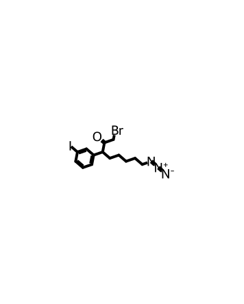 [N-]=[N+]=NCCCCCC(C(=O)CBr)c1cccc(I)c1